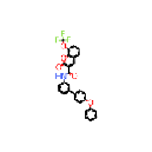 O=C(Nc1cccc(-c2ccc(Oc3ccccc3)cc2)c1)c1cc2cccc(OC(F)(F)F)c2oc1=O